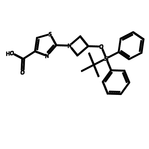 CC(C)(C)[Si](OC1CN(c2nc(C(=O)O)cs2)C1)(c1ccccc1)c1ccccc1